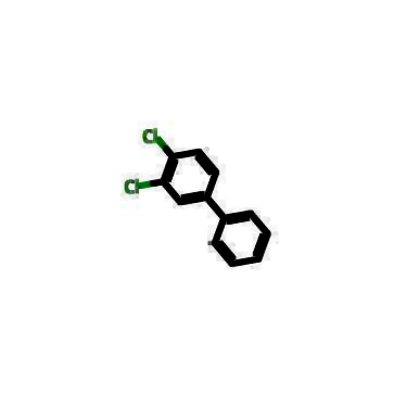 Clc1ccc(-c2[c]cccc2)cc1Cl